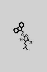 CC(C)CCC(NC(=O)OCC1c2ccccc2-c2ccccc21)C(=O)O